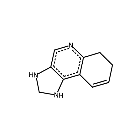 C1=Cc2c(ncc3c2NCN3)CC1